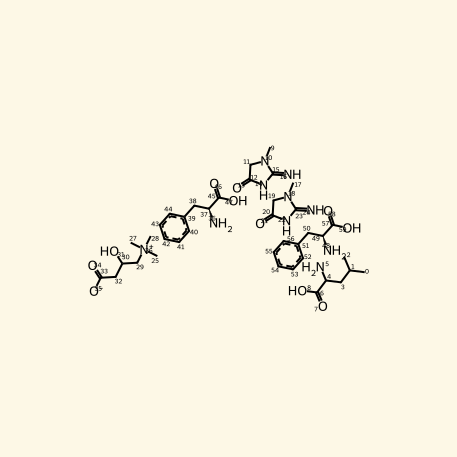 CC(C)CC(N)C(=O)O.CN1CC(=O)NC1=N.CN1CC(=O)NC1=N.C[N+](C)(C)CC(O)CC(=O)[O-].N[C@@H](Cc1ccccc1)C(=O)O.N[C@@H](Cc1ccccc1)C(=O)O